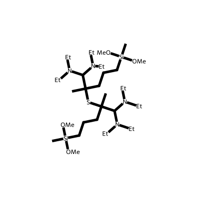 CCN(CC)C(N(CC)CC)C(C)(CCC[Si](C)(OC)OC)SC(C)(CCC[Si](C)(OC)OC)C(N(CC)CC)N(CC)CC